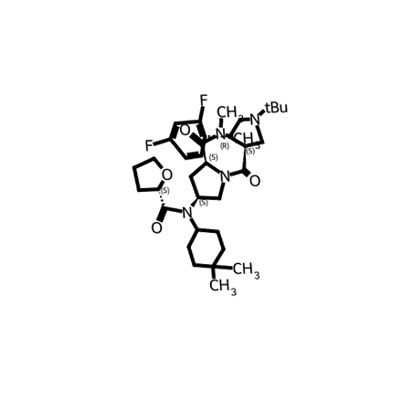 CN(C)C(=O)[C@@H]1C[C@H](N(C(=O)[C@@H]2CCCO2)C2CCC(C)(C)CC2)CN1C(=O)[C@@H]1CN(C(C)(C)C)C[C@H]1c1ccc(F)cc1F